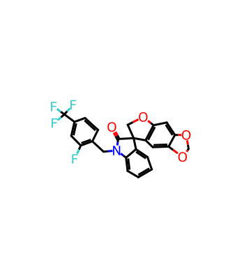 O=C1N(Cc2ccc(C(F)(F)F)cc2F)c2ccccc2C12COc1cc3c(cc12)OCO3